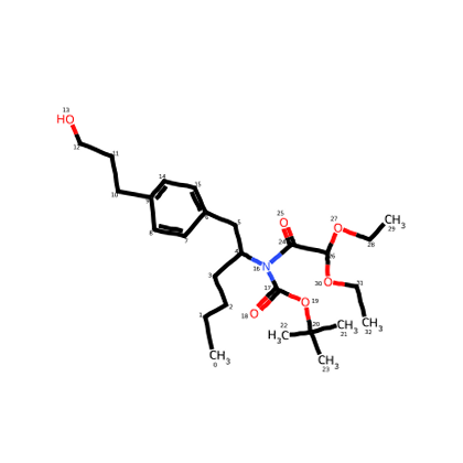 CCCCC(Cc1ccc(CCCO)cc1)N(C(=O)OC(C)(C)C)C(=O)C(OCC)OCC